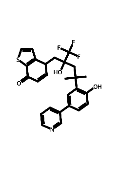 CC(C)(CC(O)(CC1C=CC(=O)c2sccc21)C(F)(F)F)c1cc(-c2cccnc2)ccc1O